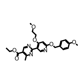 CCOC(=O)c1cnc(-c2cnc(OCc3ccc(OC)cc3)cc2OCCOC)nc1C